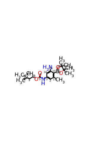 Cc1cc(NC(=O)OCC[Si](C)(C)C)cc(N)c1B1OC(C)(C)C(C)(C)O1